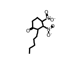 CCCCCC1C(=O)CCC([N+](=O)[O-])C1[N+](=O)[O-]